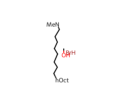 Br.CCCCCCCCCCCCCCCCNC.CO